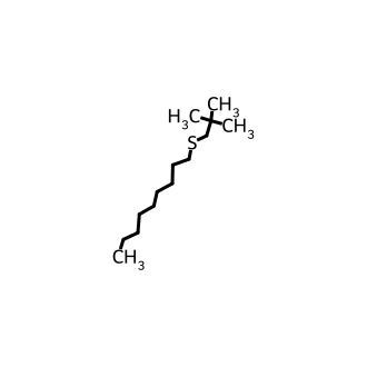 CCCCCCCCCSCC(C)(C)C